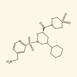 NCc1ccnc(S(=O)(=O)N2CC(C3CCCCC3)C[C@H](C(=O)N3CCS(=O)(=O)CC3)C2)c1